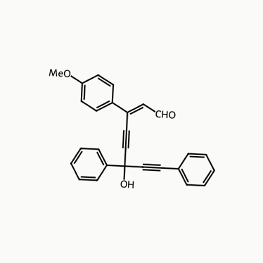 COc1ccc(/C(C#CC(O)(C#Cc2ccccc2)c2ccccc2)=C/C=O)cc1